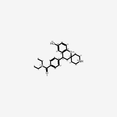 CCN(CC)C(=O)c1ccc(C2CC3(CCNCC3)Oc3ccc(O)cc32)cc1